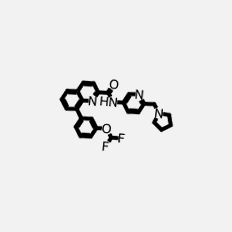 O=C(Nc1ccc(CN2CCCC2)nc1)c1ccc2cccc(-c3cccc(OC(F)F)c3)c2n1